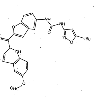 CC(C)(C)c1cc(NC(=O)Nc2ccc3oc(C(=O)C4C=Cc5cc(OC=O)ccc5N4)cc3c2)no1